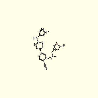 CC(Cn1cnc(F)c1)Oc1cc(-c2cnc(Nc3cnn(C)c3)nc2)ccc1C#N